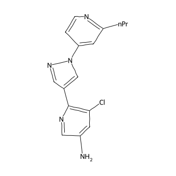 CCCc1cc(-n2cc(-c3ncc(N)cc3Cl)cn2)ccn1